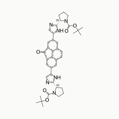 CC(C)(C)OC(=O)N1CCC[C@H]1c1ncc(-c2cc3ccc4cc(-c5cnc([C@@H]6CCCN6C(=O)OC(C)(C)C)[nH]5)cc5c(=O)c(c2)c3c45)[nH]1